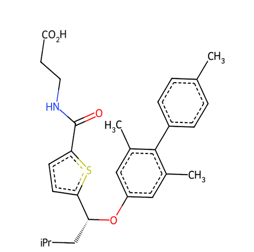 Cc1ccc(-c2c(C)cc(O[C@H](CC(C)C)c3ccc(C(=O)NCCC(=O)O)s3)cc2C)cc1